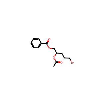 CC(=O)OC(CCCBr)COC(=O)c1ccccc1